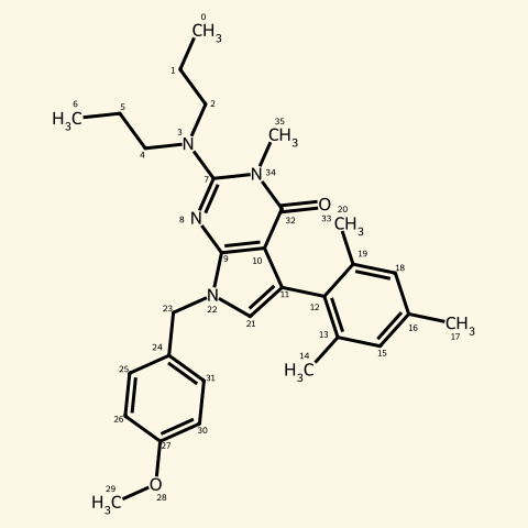 CCCN(CCC)c1nc2c(c(-c3c(C)cc(C)cc3C)cn2Cc2ccc(OC)cc2)c(=O)n1C